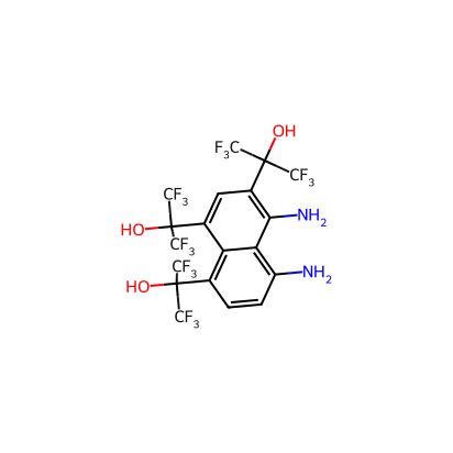 Nc1ccc(C(O)(C(F)(F)F)C(F)(F)F)c2c(C(O)(C(F)(F)F)C(F)(F)F)cc(C(O)(C(F)(F)F)C(F)(F)F)c(N)c12